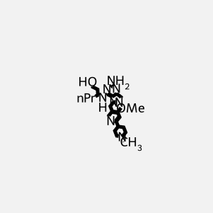 CCCC(CCO)Nc1nc(N)nc2cnn(Cc3cnc(C4CCN(C)CC4)cc3OC)c12